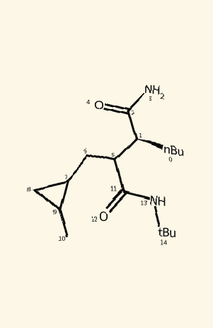 CCCC[C@H](C(N)=O)C(CC1CC1C)C(=O)NC(C)(C)C